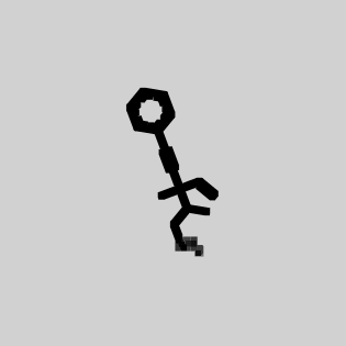 C=CC(C)(C#Cc1ccccc1)C(C)CN